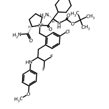 COc1ccc(NC(Cc2ccc(Cl)cc2C[N+]2(C(=O)[C@](N)(NC(=O)OC(C)(C)C)C3CCCCC3)CCC[C@H]2C(N)=O)C(F)F)cc1